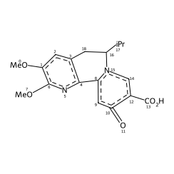 COc1cc2c(nc1OC)-c1cc(=O)c(C(=O)O)cn1C(C(C)C)C2